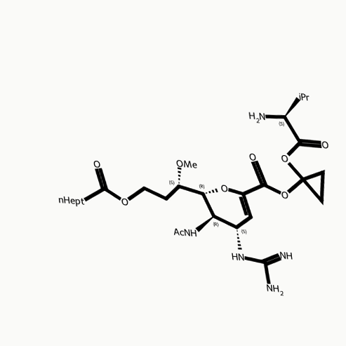 CCCCCCCC(=O)OCC[C@H](OC)[C@@H]1OC(C(=O)OC2(OC(=O)[C@@H](N)C(C)C)CC2)=C[C@H](NC(=N)N)[C@H]1NC(C)=O